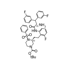 CC(C)(C)OC(=O)N1CCN(S(=O)(=O)c2ccccc2)[C@@H](CCc2c(F)cccc2NC(=O)[C@@H](N)C(c2cccc(F)c2)c2cccc(F)c2)C1